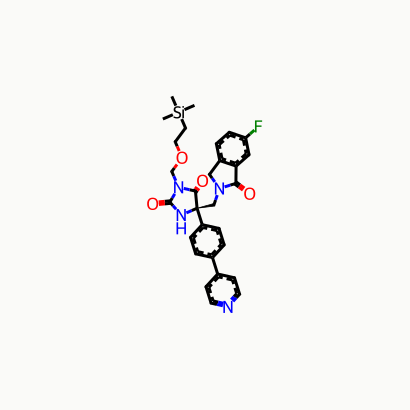 C[Si](C)(C)CCOCN1C(=O)N[C@@](CN2Cc3ccc(F)cc3C2=O)(c2ccc(-c3ccncc3)cc2)C1=O